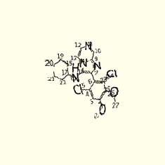 COc1cc(Cl)c(-c2nc3cnccn3c2NC2CCCCC2)c(Cl)c1OC